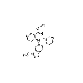 CC(C)OC1=NC(c2cccnc2)N(c2ccc3ccn(C)c3c2)C2=C1C=NCC2